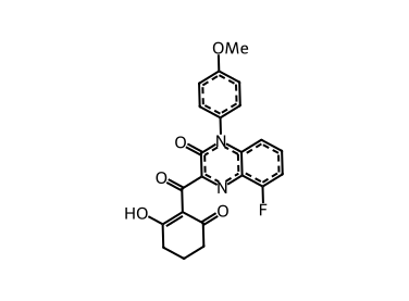 COc1ccc(-n2c(=O)c(C(=O)C3=C(O)CCCC3=O)nc3c(F)cccc32)cc1